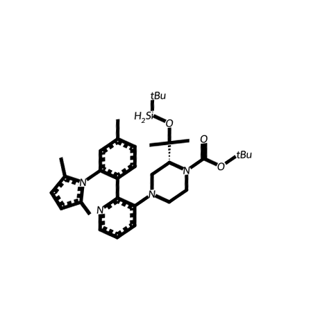 Cc1ccc(-c2ncccc2N2CCN(C(=O)OC(C)(C)C)[C@@H](C(C)(C)O[SiH2]C(C)(C)C)C2)c(-n2c(C)ccc2C)c1